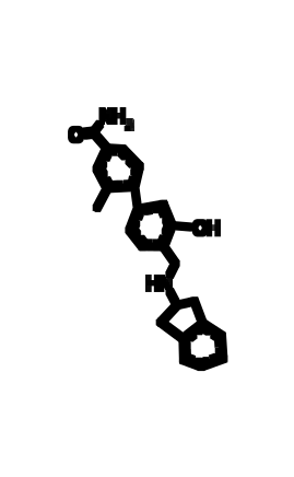 Cc1cc(C(N)=O)ccc1-c1ccc(CNC2Cc3ccccc3C2)c(O)c1